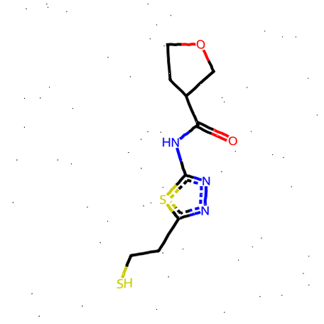 O=C(Nc1nnc(CCS)s1)C1CCOC1